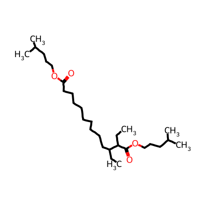 CCC(CCCCCCCCCC(=O)OCCCC(C)C)C(CC)C(=O)OCCCC(C)C